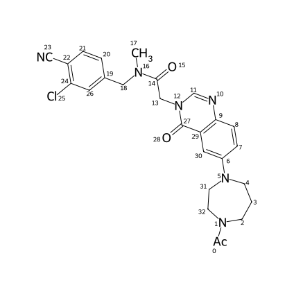 CC(=O)N1CCCN(c2ccc3ncn(CC(=O)N(C)Cc4ccc(C#N)c(Cl)c4)c(=O)c3c2)CC1